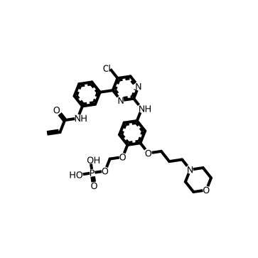 C=CC(=O)Nc1cccc(-c2nc(Nc3ccc(OCOP(=O)(O)O)c(OCCCN4CCOCC4)c3)ncc2Cl)c1